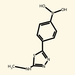 CNc1nnc(-c2ccc(B(O)O)cc2)s1